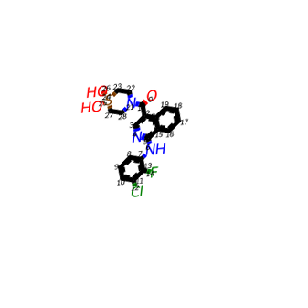 O=C(c1cnc(Nc2cccc(Cl)c2F)c2ccccc12)N1CCS(O)(O)CC1